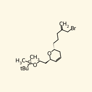 C=C(CBr)CCC[C@@H]1CC=C[C@@H](CCO[Si](C)(C)C(C)(C)C)O1